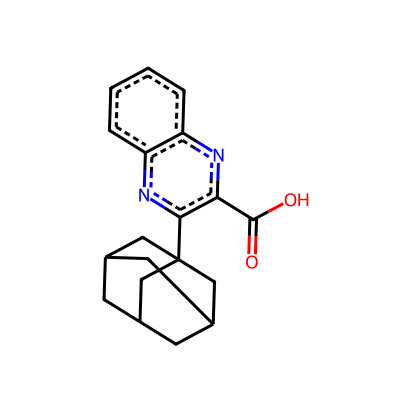 O=C(O)c1nc2ccccc2nc1C12CC3CC(CC(C3)C1)C2